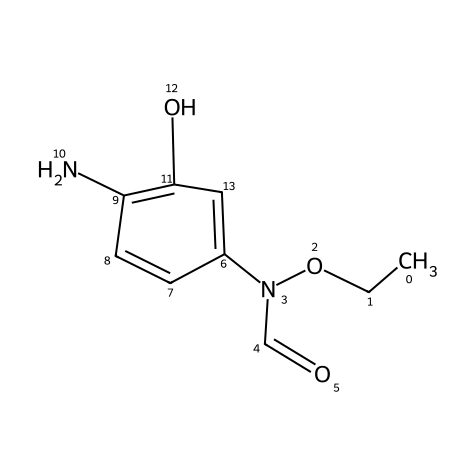 CCON(C=O)c1ccc(N)c(O)c1